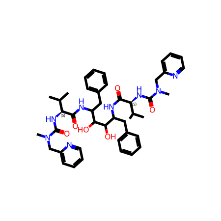 CC(C)[C@H](NC(=O)N(C)Cc1ccccn1)C(=O)NC(Cc1ccccc1)C(O)C(O)C(Cc1ccccc1)NC(=O)[C@@H](NC(=O)N(C)Cc1ccccn1)C(C)C